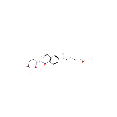 O=C(O)CCCCNc1ccc2c(=O)n(C3CCC(=O)NC3=O)ncc2c1